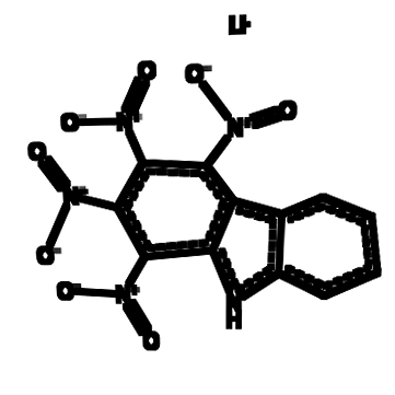 O=[N+]([O-])c1c([N+](=O)[O-])c([N+](=O)[O-])c2c([nH]c3ccccc32)c1[N+](=O)[O-].[Li]